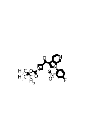 CC(C)(C)OC(=O)N1CC(C(=O)c2cn(-c3ccc(F)cc3[N+](=O)[O-])c3cnccc23)C1